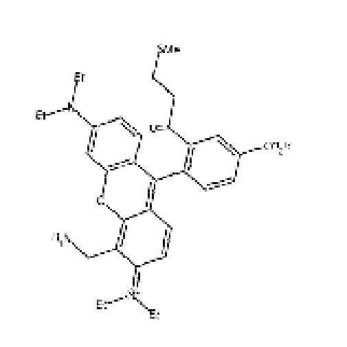 CCN(CC)c1ccc2c(-c3ccc(C(=O)O)cc3C(=O)CCSC)c3ccc(=[N+](CC)CC)c(CN)c-3oc2c1